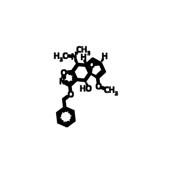 COC1=C[C@@H]2C[C@H]3[C@H](N(C)C)c4onc(OCc5ccccc5)c4[C@@H](O)[C@]13O2